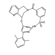 Cc1cccc(C)c1-c1cc2nc(n1)NS(=O)(=O)c1cccc(c1)C(=O)N1Cc3cccnc3C(C1)O2